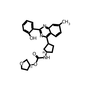 Cc1ccc2c(C3CC[C@@H](NC(=O)O[C@H]4CCOC4)C3)nc(-c3ccccc3O)nc2c1